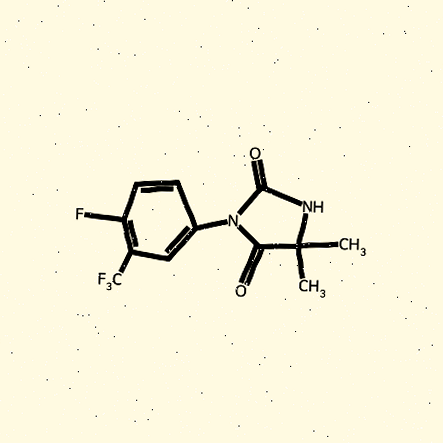 CC1(C)NC(=O)N(c2ccc(F)c(C(F)(F)F)c2)C1=O